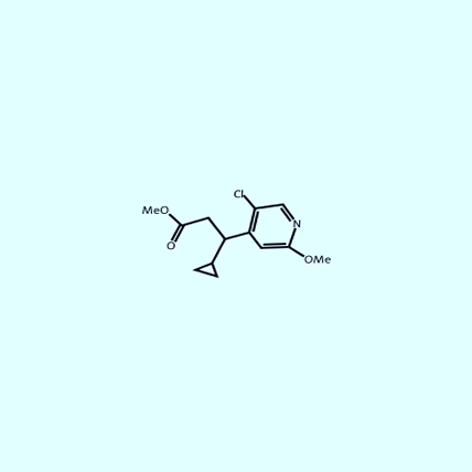 COC(=O)CC(c1cc(OC)ncc1Cl)C1CC1